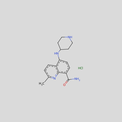 Cc1ccc2c(NC3CCNCC3)ccc(C(N)=O)c2n1.Cl